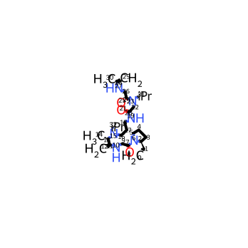 C=C[C@@H]1CCCN1C(=O)CNC(=C)[C@H](C)N(CCCNC(=O)CN(C(=O)CNC(=C)C)C(C)C)C(C)C